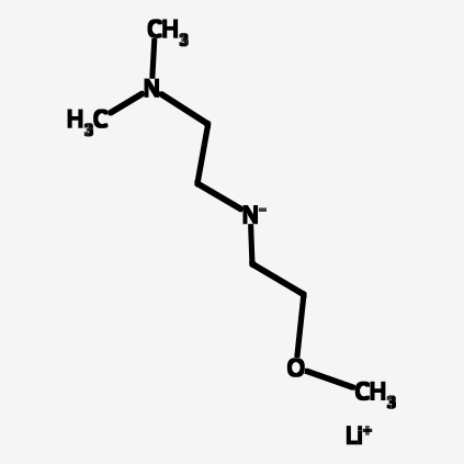 COCC[N-]CCN(C)C.[Li+]